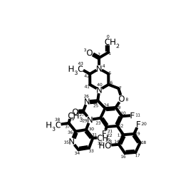 C=CC(=O)N1CC2COc3c(F)c(-c4c(O)cccc4F)c(F)c4c3c(nc(=O)n4-c3c(C)ccnc3C(C)C)N2CC1C